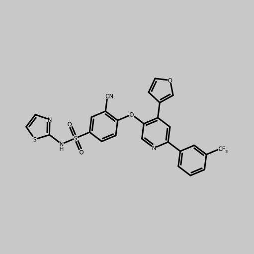 N#Cc1cc(S(=O)(=O)Nc2nccs2)ccc1Oc1cnc(-c2cccc(C(F)(F)F)c2)cc1-c1ccoc1